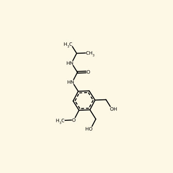 COc1cc(NC(=O)NC(C)C)cc(CO)c1CO